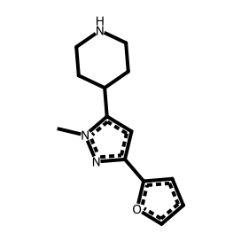 Cn1nc(-c2ccco2)cc1C1CCNCC1